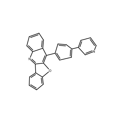 c1cncc(-c2ccc(-c3c4ccccc4nc4c3oc3ccccc34)cc2)c1